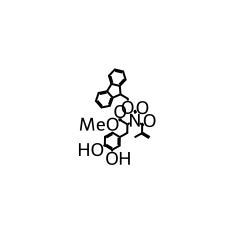 C=C(C)C(=O)N(C(=O)OCC1c2ccccc2-c2ccccc21)C(Cc1ccc(O)c(O)c1)C(=O)OC